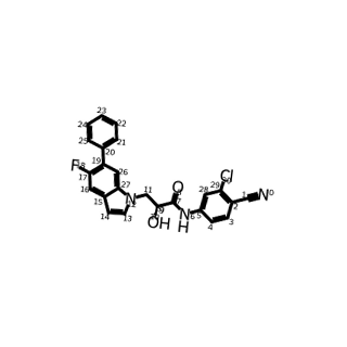 N#Cc1ccc(NC(=O)[C@@H](O)Cn2ccc3cc(F)c(-c4ccccc4)cc32)cc1Cl